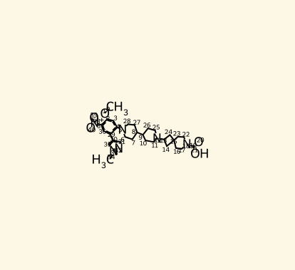 COc1cc(N2CCC(C3CCN(C4CC5(CCN(C(=O)O)CC5)C4)CC3)CC2)c(-c2cnn(C)c2)cc1[N+](=O)[O-]